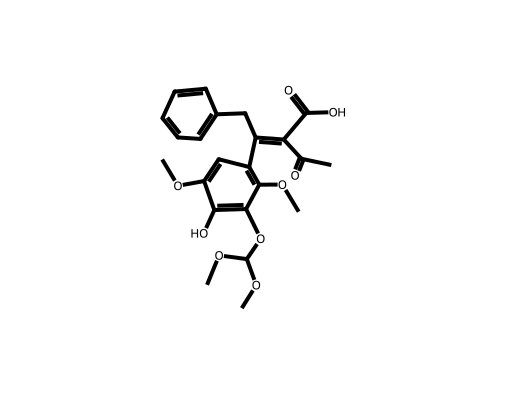 COc1cc(/C(Cc2ccccc2)=C(\C(C)=O)C(=O)O)c(OC)c(OC(OC)OC)c1O